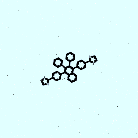 c1ccc(-c2c(-c3ccccc3)c(-c3ccc(-c4nccs4)cc3)c3ccccc3c2-c2ccc(-c3nccs3)cc2)cc1